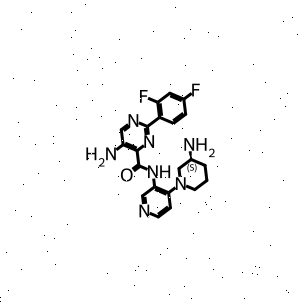 Nc1cnc(-c2ccc(F)cc2F)nc1C(=O)Nc1cnccc1N1CCC[C@H](N)C1